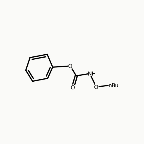 CCCCONC(=O)Oc1ccccc1